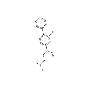 C=C/C(=C\C=C(/C)S)c1ccc(-c2ccccc2)c(F)c1